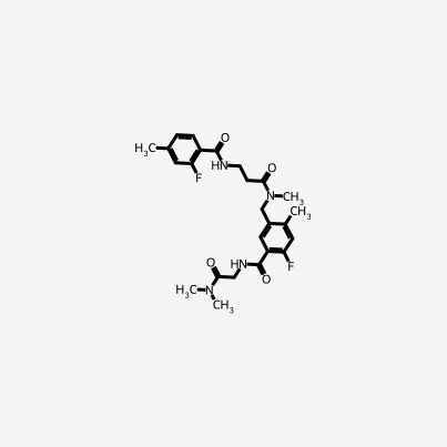 Cc1ccc(C(=O)NCCC(=O)N(C)Cc2cc(C(=O)NCC(=O)N(C)C)c(F)cc2C)c(F)c1